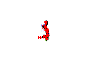 O=C(NS(=O)(=O)c1ccc(NCCSc2ccccc2)c([N+](=O)[O-])c1)c1ccc(N2CCN(Cc3cc(-c4cccc(O)c4)cc(C(F)(F)F)c3)CC2)cc1